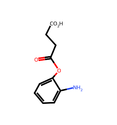 Nc1ccccc1OC(=O)CCC(=O)O